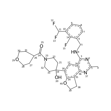 Cc1nc(NCc2cccc(C(F)F)c2F)c2cc(C3(O)CCN(C(=O)C4CCOCC4)CC3)c3c(c2n1)CCO3